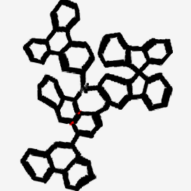 c1ccc2c(c1)-c1ccccc1C21c2ccccc2-c2cc(-c3ccc(-c4cc5ccccc5c5ccccc45)cc3)c(N(c3ccc4c5ccccc5c5ccccc5c4c3)c3cccc4ccccc34)cc21